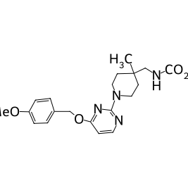 COc1ccc(COc2ccnc(N3CCC(C)(CNC(=O)O)CC3)n2)cc1